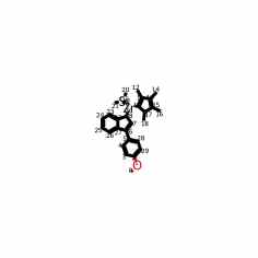 COc1ccc(C2=C[CH]([Zr]([C]3=C(C)C(C)=C(C)C3C)=[Si](C)C)c3ccccc32)cc1